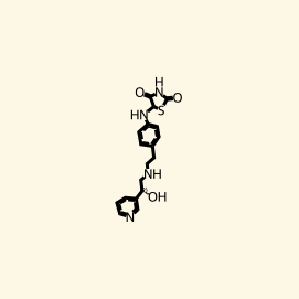 O=C1NC(=O)C(Nc2ccc(CCNC[C@H](O)c3cccnc3)cc2)S1